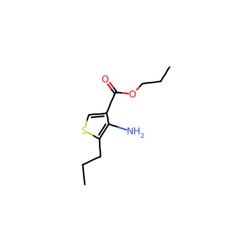 CCCOC(=O)c1csc(CCC)c1N